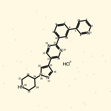 Cl.c1cncc(-c2cccc(-c3ncc(-c4cnn(C5CCNCC5)c4)cn3)c2)c1